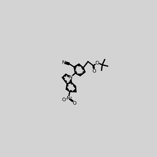 CC(C)(C)OC(=O)Cc1ccc(-n2ccc3cc([N+](=O)[O-])ccc32)c(C#N)c1